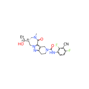 CC[C@H](O)[C@@H]1CN(C)C(=O)c2c3c(nn2C1)CCN(C(=O)Nc1ccc(F)c(C#N)c1F)C3